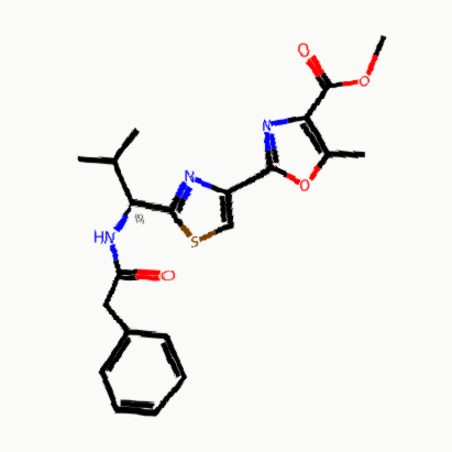 COC(=O)c1nc(-c2csc([C@@H](NC(=O)Cc3ccccc3)C(C)C)n2)oc1C